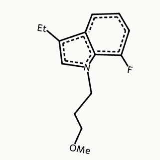 CCc1cn(CCCOC)c2c(F)cccc12